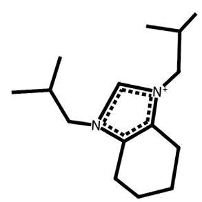 CC(C)Cn1c[n+](CC(C)C)c2c1CCCC2